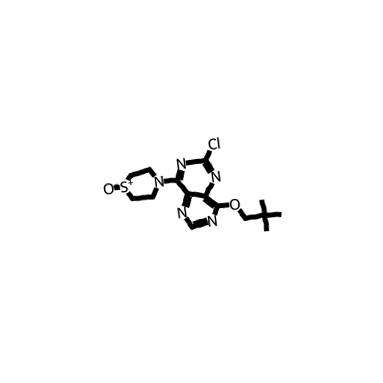 CC(C)(C)COc1ncnc2c(N3CC[S+]([O-])CC3)nc(Cl)nc12